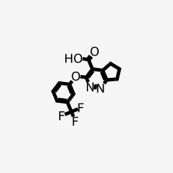 O=C(O)c1c(Oc2cccc(C(F)(F)F)c2)nnc2c1CCC2